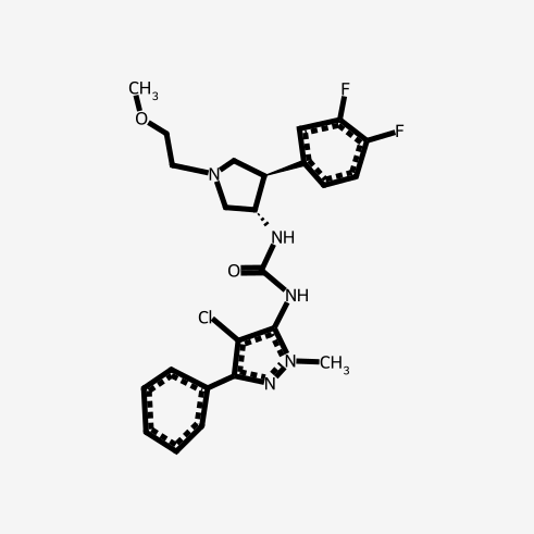 COCCN1C[C@@H](NC(=O)Nc2c(Cl)c(-c3ccccc3)nn2C)[C@H](c2ccc(F)c(F)c2)C1